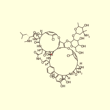 CN[C@H](CC(C)C)C(=O)N[C@H]1C(=O)N[C@@H](CC(N)=O)C(=O)N[C@H]2C(=O)N[C@@H](C=O)c3ccc(O)c(c3)-c3c(O)cc(O)cc3[C@@H](C(=O)O)NC(=O)[C@@H](N)[C@H](O)c3ccc(c(Cl)c3)Oc3cc2cc(c3OC2OC(CO)C(O)C(O)C2OC2CC(C)(N)C(O)C(C)O2)Oc2ccc(cc2Cl)[C@H]1O